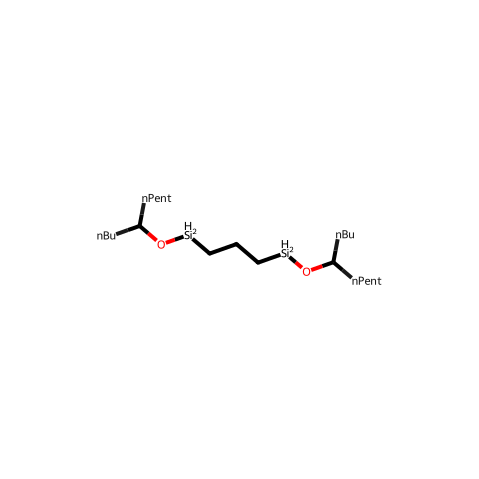 CCCCCC(CCCC)O[SiH2]CCC[SiH2]OC(CCCC)CCCCC